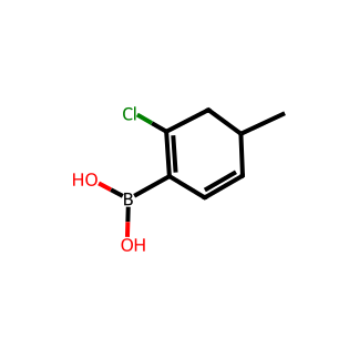 CC1C=CC(B(O)O)=C(Cl)C1